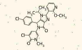 COc1ncccc1-c1nc2c(n1C(C)C)C(c1ccc(Cl)cc1)N(c1cc(Cl)c(=O)n(C)c1)C2=O